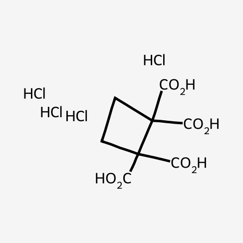 Cl.Cl.Cl.Cl.O=C(O)C1(C(=O)O)CCC1(C(=O)O)C(=O)O